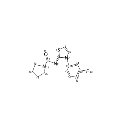 O=C(/N=c1\sccn1-c1ccnc(F)c1)N1CCCC1